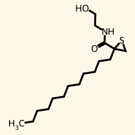 CCCCCCCCCCCCC1(C(=O)NCCO)CS1